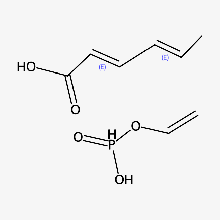 C/C=C/C=C/C(=O)O.C=CO[PH](=O)O